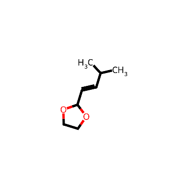 CC(C)/C=C/C1OCCO1